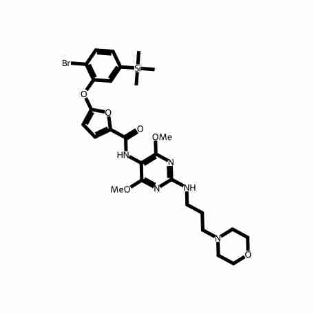 COc1nc(NCCCN2CCOCC2)nc(OC)c1NC(=O)c1ccc(Oc2cc([Si](C)(C)C)ccc2Br)o1